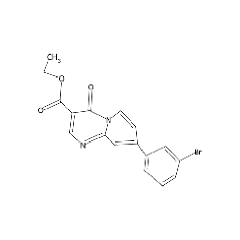 CCOC(=O)c1cnc2cc(-c3cccc(Br)c3)ccn2c1=O